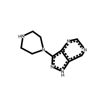 c1ncc2[nH]nc(N3CCNCC3)c2n1